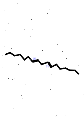 CCCCCC/C=C/[C]/C=C/CCCCCC